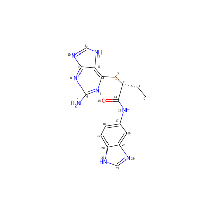 CC[C@@H](Sc1nc(N)nc2nc[nH]c12)C(=O)Nc1ccc2[nH]cnc2c1